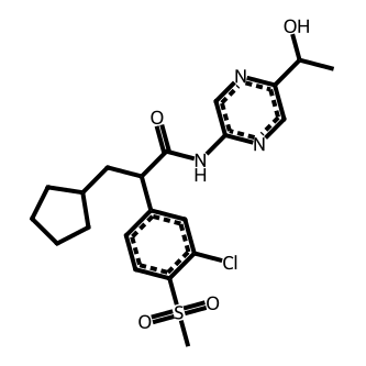 CC(O)c1cnc(NC(=O)C(CC2CCCC2)c2ccc(S(C)(=O)=O)c(Cl)c2)cn1